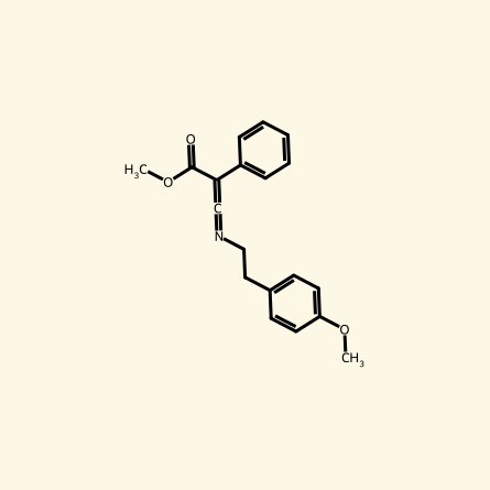 COC(=O)C(=C=NCCc1ccc(OC)cc1)c1ccccc1